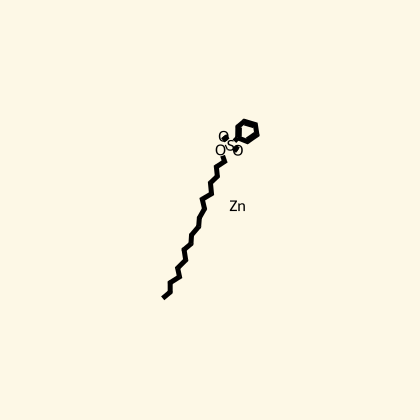 CCCCCCCCCCCCCCCCCCOS(=O)(=O)c1ccccc1.[Zn]